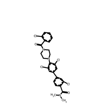 CN(C)C(=O)c1ccc(-c2cc(Cl)c(N3CCN(C(=O)c4ccccc4Cl)CC3)c(Cl)c2)cc1Cl